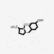 COC1CCC(C[C@@H]2CCC(C(=O)O)N2C(=O)O)CC1